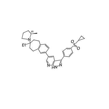 CCC1(N2CCC[C@H]2C)CCc2ccc(-c3cnc4[nH]nc(-c5ccc(S(=O)(=O)C6CC6)cc5)c4c3)cc2CC1